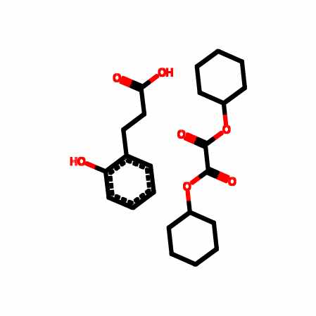 O=C(O)CCc1ccccc1O.O=C(OC1CCCCC1)C(=O)OC1CCCCC1